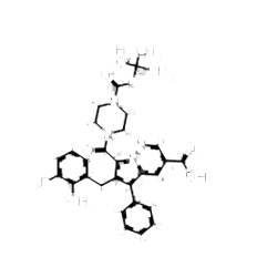 Cc1c(F)cccc1Cc1c(-c2ccccc2)c2cc(C(=O)O)cnn2c1C(=O)N1CCN(C(=O)OC(C)(C)C)CC1